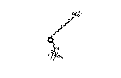 CC(C)(C)OC(=O)NCCc1cccc(OCCCCCOCCCOCCOS(C)(=O)=O)c1